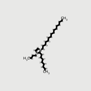 CCCCCCCCCCCCCCCCN1C=CN(CCCC)C1CCCCCCCC